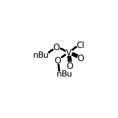 CCCC[O][V](=[O])(=[O])([Cl])[O]CCCC